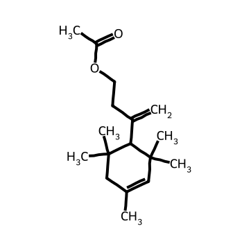 C=C(CCOC(C)=O)C1C(C)(C)C=C(C)CC1(C)C